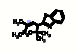 CC/C(C)=C\C(c1nc2ccccc2s1)C(C)(C)C